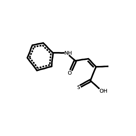 CC(=CC(=O)Nc1ccccc1)C(O)=S